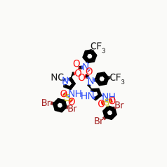 N#CN1C[C@H](NS(=O)(=O)c2cc(Br)ccc2Br)C[C@@H]1COC(=O)N(OC(=O)N(C[C@H]1C[C@@H](NS(=O)(=O)c2cc(Br)ccc2Br)CN1)c1ccc(C(F)(F)F)cc1)c1ccc(C(F)(F)F)cc1